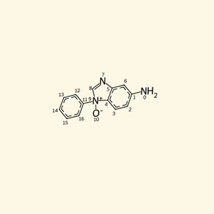 Nc1ccc2c(c1)N=C[N+]2([O-])c1ccccc1